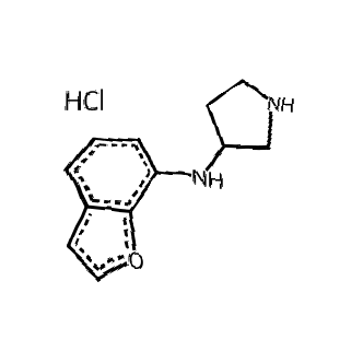 Cl.c1cc(NC2CCNC2)c2occc2c1